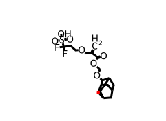 C=C(COCCC(F)(F)S(=O)(=O)O)C(=O)OCOC1C2CC3CC(C2)CC1C3